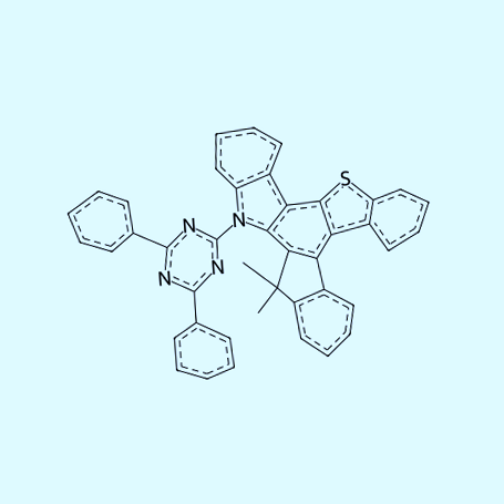 CC1(C)c2ccccc2-c2c1c1c(c3ccccc3n1-c1nc(-c3ccccc3)nc(-c3ccccc3)n1)c1sc3ccccc3c21